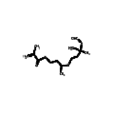 C=C(C)C(=O)SCCC(C)OCCC(C)(C)SC=O